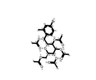 CC(=O)OC[C@H]1O[C@H]([C@H](OC(C)=O)c2ccc(Br)cc2C)C(OC(C)=O)C(OC(C)=O)[C@@H]1OC(C)=O